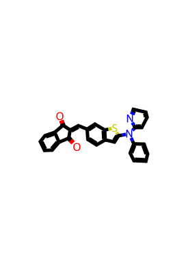 O=C1C(=Cc2ccc3cc(N(c4ccccc4)c4ccccn4)sc3c2)C(=O)c2ccccc21